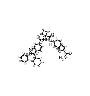 NC(=O)c1cc2ccc(NC(=O)C3(NC(=O)c4ccc5c(C6CCCCC6)n(-c6ccccc6)nc5c4)CCC3)cc2o1